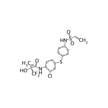 C=CS(=O)(=O)Nc1ccc(Sc2ccc(NC(=O)[C@@](C)(O)C(F)(F)F)c(Cl)c2)cc1